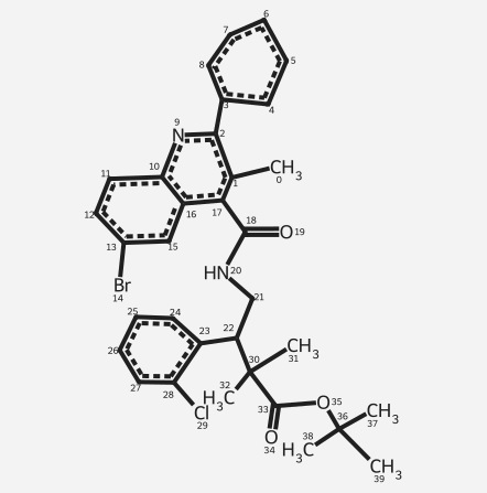 Cc1c(-c2ccccc2)nc2ccc(Br)cc2c1C(=O)NCC(c1ccccc1Cl)C(C)(C)C(=O)OC(C)(C)C